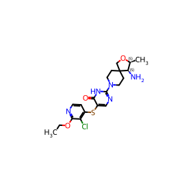 CCOc1nccc(Sc2cnc(N3CCC4(CC3)CO[C@@H](C)[C@H]4N)[nH]c2=O)c1Cl